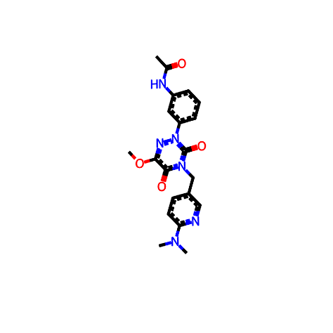 COc1nn(-c2cccc(NC(C)=O)c2)c(=O)n(Cc2ccc(N(C)C)nc2)c1=O